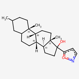 CC1CC[C@@]2(C)C(CC[C@@H]3[C@H]2CC[C@@]2(C)[C@H]3CCC2(O)c2ccno2)C1